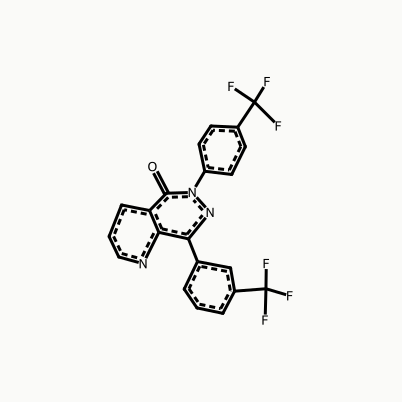 O=c1c2cccnc2c(-c2cccc(C(F)(F)F)c2)nn1-c1ccc(C(F)(F)F)cc1